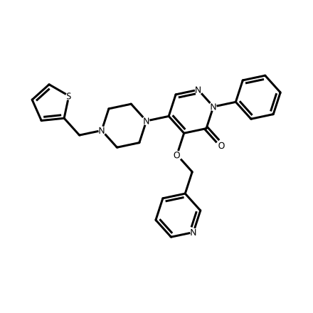 O=c1c(OCc2cccnc2)c(N2CCN(Cc3cccs3)CC2)cnn1-c1ccccc1